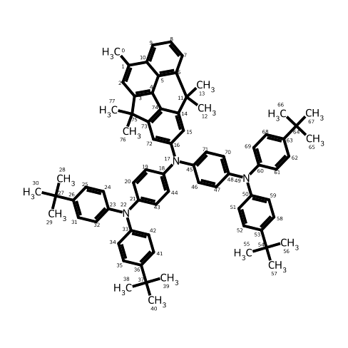 Cc1cc2c3c4c(cccc14)C(C)(C)c1cc(N(c4ccc(N(c5ccc(C(C)(C)C)cc5)c5ccc(C(C)(C)C)cc5)cc4)c4ccc(N(c5ccc(C(C)(C)C)cc5)c5ccc(C(C)(C)C)cc5)cc4)cc(c1-3)C2(C)C